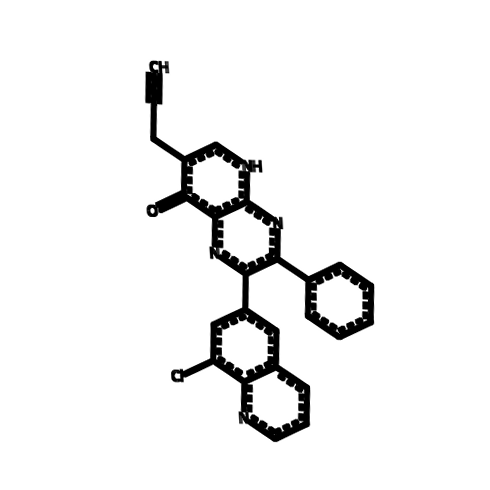 C#CCc1c[nH]c2nc(-c3ccccc3)c(-c3cc(Cl)c4ncccc4c3)nc2c1=O